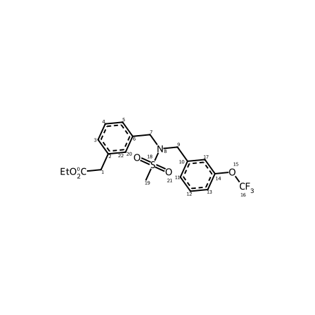 CCOC(=O)Cc1cccc(CN(Cc2cccc(OC(F)(F)F)c2)S(C)(=O)=O)c1